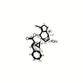 CC1=C2[C@@H](CC1)[C@]1(C)O[C@@](C3CC3)(C[C@H]1O)[C@H]2OC(=O)/C=C/c1ccccc1